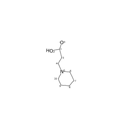 [O]C(O)CCN1CCCCC1